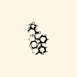 Cc1cc(C2(N3C[C@@H](C)O[C@@H](C)C3)C=CC=CC2CNC(=O)c2conc2C)ccn1